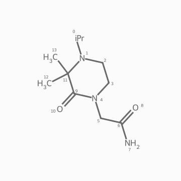 CC(C)N1CCN(CC(N)=O)C(=O)C1(C)C